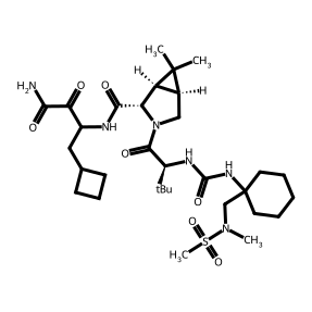 CN(CC1(NC(=O)N[C@H](C(=O)N2C[C@H]3[C@@H]([C@H]2C(=O)NC(CC2CCC2)C(=O)C(N)=O)C3(C)C)C(C)(C)C)CCCCC1)S(C)(=O)=O